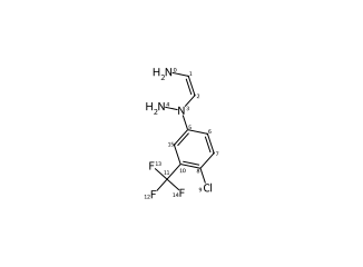 N/C=C\N(N)c1ccc(Cl)c(C(F)(F)F)c1